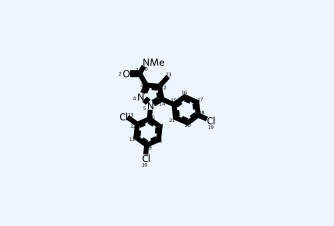 CNC(=O)c1nn(-c2ccc(Cl)cc2Cl)c(-c2ccc(Cl)cc2)c1C